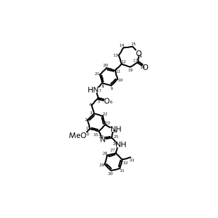 COc1cc(CC(=O)Nc2ccc(C3CCCOC(=O)C3)cc2)cc2[nH]c(Nc3ccccc3C)nc12